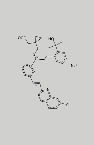 CC(C)(O)c1ccccc1CC[C@H](SCC1(CC(=O)[O-])CC1)c1cccc(/C=C/c2ccc3ccc(Cl)cc3n2)c1.[Na+]